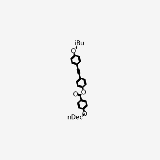 CCCCCCCCCCOc1ccc(C(=O)Oc2ccc(C#Cc3ccc(OC[C@@H](C)CC)cc3)cc2)cc1